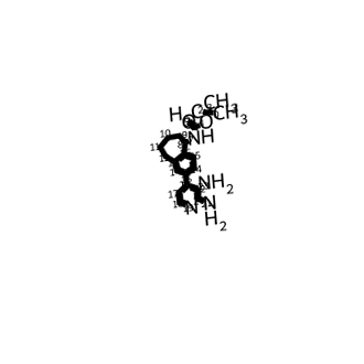 CC(C)(C)OC(=O)NC1CCCCc2cc(-c3ccnc(N)c3N)ccc21